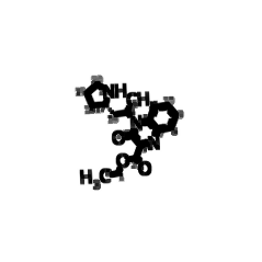 CCOC(=O)c1nc2ccccc2n(C(C)C[C@@H]2CCCN2)c1=O